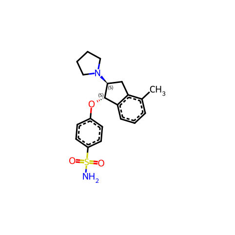 Cc1cccc2c1C[C@H](N1CCCC1)[C@H]2Oc1ccc(S(N)(=O)=O)cc1